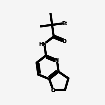 CCC(C)(C)C(=O)Nc1ccc2c(n1)CCO2